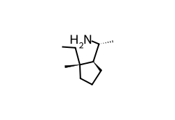 CC[C@@]1(C)CCC[C@@H]1[C@@H](C)N